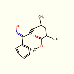 COC(=O)C(C)CC(C)C#C/C(=N\O)c1ccccc1